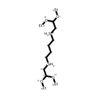 CCOC(C[SiH2]CCCC[SiH2]CC(OCC)OCC)OCC